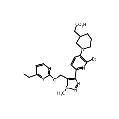 CCc1nc(-c2nnn(C)c2COc2nccc(CI)n2)ccc1N1CCCC(CC(=O)O)C1